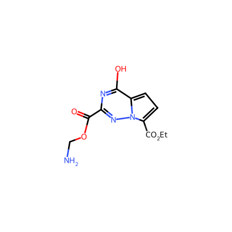 CCOC(=O)c1ccc2c(O)nc(C(=O)OCN)nn12